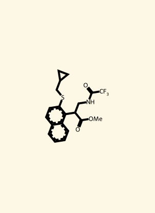 COC(=O)C(CNC(=O)C(F)(F)F)c1c(SCC2CC2)ccc2ccccc12